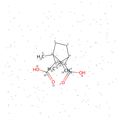 CC12CCC(C(C(=O)O)=C1C(=O)O)C2(C)C